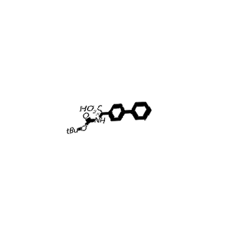 CC(C)(C)OC(=O)N[C@H](C(=O)O)c1ccc(-c2ccccc2)cc1